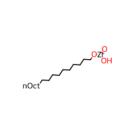 CCCCCCCCCCCCCCCCCC[O][Zr](=[O])[OH]